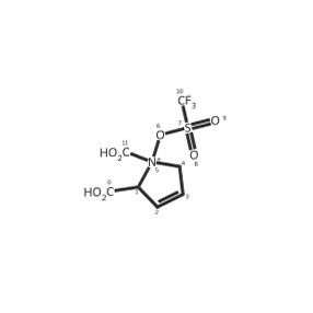 O=C(O)C1C=CC[N+]1(OS(=O)(=O)C(F)(F)F)C(=O)O